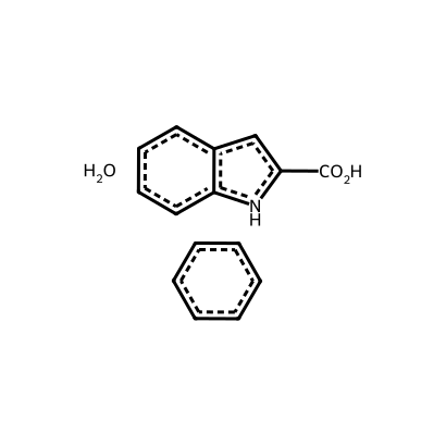 O.O=C(O)c1cc2ccccc2[nH]1.c1ccccc1